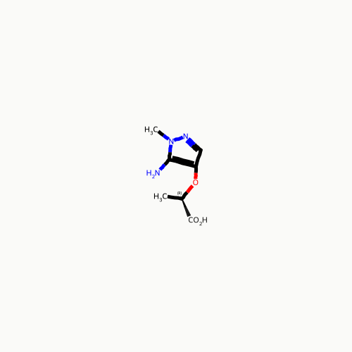 C[C@@H](Oc1cnn(C)c1N)C(=O)O